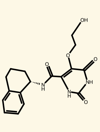 O=C(N[C@H]1CCCc2ccccc21)c1[nH]c(=O)[nH]c(=O)c1OCCO